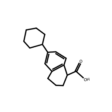 O=C(O)C1CCCc2cc(C3CCCCC3)ccc21